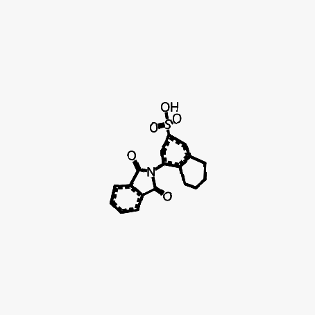 O=C1c2ccccc2C(=O)N1c1cc(S(=O)(=O)O)cc2c1CCCC2